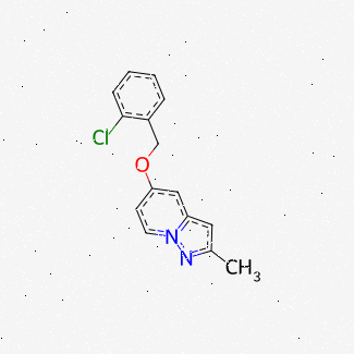 Cc1cc2cc(OCc3ccccc3Cl)ccn2n1